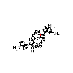 NC1=Nc2c(ncn2[C@@H]2O[C@@H]3COP(=O)(O)OC4[C@@H](COP(=O)(O)O[C@H]2C3O)O[C@@H](n2cnc3c(N)ncnc32)[C@H]4O)C(N)N1